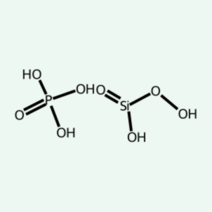 O=P(O)(O)O.O=[Si](O)OO